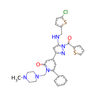 CN1CCN(Cn2c(-c3ccccc3)cc(-c3cc(NCc4ccc(Cl)s4)n(C(=O)c4cccs4)n3)cc2=O)CC1